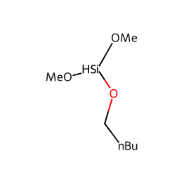 CCCCCO[SiH](OC)OC